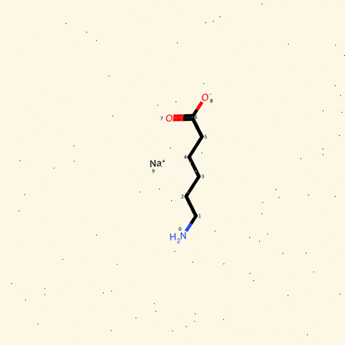 NCCCCCC(=O)[O-].[Na+]